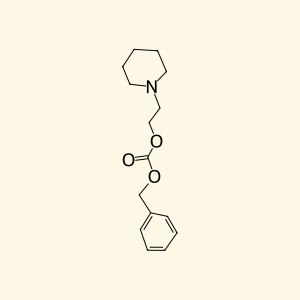 O=C(OCCN1CCCCC1)OCc1ccccc1